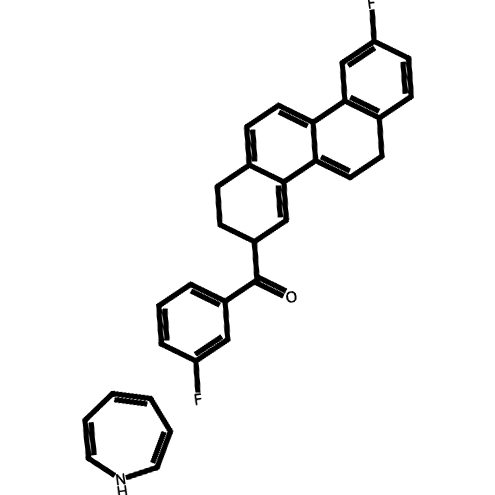 C1=CC=CNC=C1.O=C(c1cccc(F)c1)C1C=c2c(ccc3c2=CCc2ccc(F)cc2-3)CC1